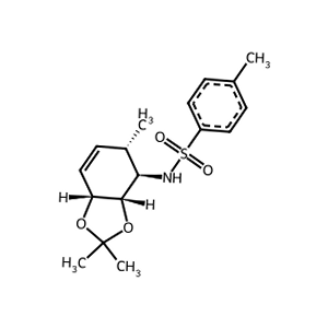 Cc1ccc(S(=O)(=O)N[C@H]2[C@@H]3OC(C)(C)O[C@@H]3C=C[C@@H]2C)cc1